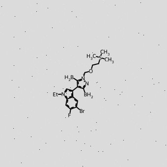 Bc1nn(COCCS(C)(C)C)c(B)c1-c1cn(CC)c2cc(F)c(Br)cc12